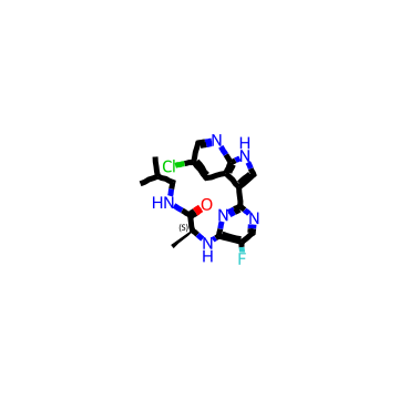 CC(C)CNC(=O)[C@H](C)Nc1nc(-c2c[nH]c3ncc(Cl)cc23)ncc1F